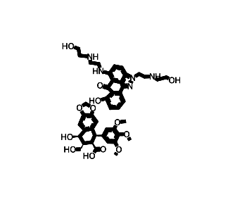 COc1cc([C@@H]2c3cc4c(cc3[C@H](O)[C@@H](CO)[C@@H]2C(=O)O)OCO4)cc(OC)c1OC.O=C1c2c(O)cccc2-c2nn(CCNCCO)c3ccc(NCCNCCO)c1c23